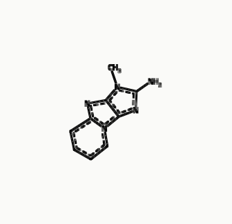 Cn1c(N)nc2c1nc1ccccn12